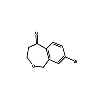 O=C1CCOCc2cc(Br)ccc21